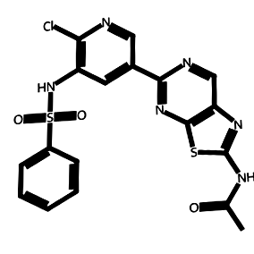 CC(=O)Nc1nc2cnc(-c3cnc(Cl)c(NS(=O)(=O)c4ccccc4)c3)nc2s1